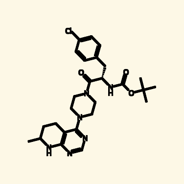 CC1CCc2c(ncnc2N2CCN(C(=O)[C@H](Cc3ccc(Cl)cc3)NC(=O)OC(C)(C)C)CC2)N1